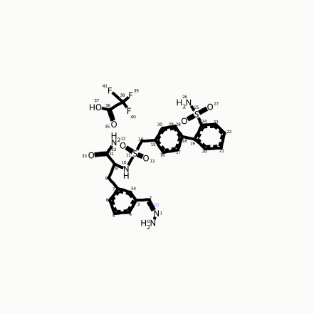 N/N=C\c1cccc(CC(NS(=O)(=O)Cc2ccc(-c3ccccc3S(N)(=O)=O)cc2)C(N)=O)c1.O=C(O)C(F)(F)F